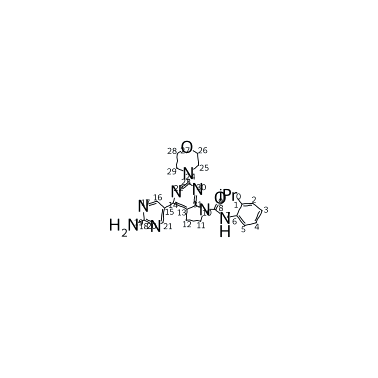 CC(C)c1ccccc1NC(=O)N1CCc2c(-c3cnc(N)nc3)nc(N3CCOCC3)nc21